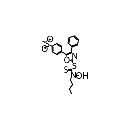 CCCCN(O)C(=S)Sc1nc(-c2ccccc2)c(-c2ccc(S(C)(=O)=O)cc2)o1